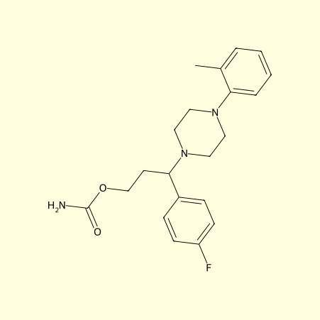 Cc1ccccc1N1CCN(C(CCOC(N)=O)c2ccc(F)cc2)CC1